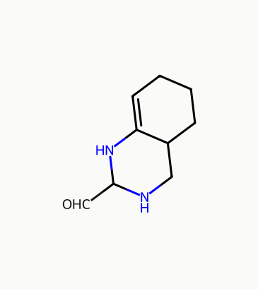 O=CC1NCC2CCCC=C2N1